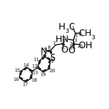 CC(C)C(NC(=O)Cc1nc2cc(-c3ccccc3)ccc2s1)C(=O)O